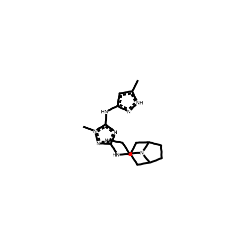 Cc1cc(Nc2nc(NC3CC4CCC(C3)N4CCC#N)nn2C)n[nH]1